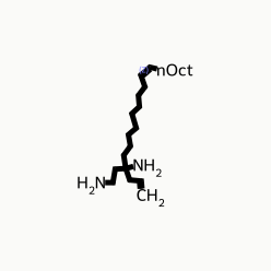 C=CCC(N)(CCN)CCCCCCCC/C=C\CCCCCCCC